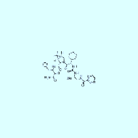 CC(C)(C)[C@@H](CNC(=O)c1cnccn1)NC(=O)N[C@H](C(=O)N1C[C@H]2[C@@H]([C@H]1C(=O)NC(CC1CCC1)C(=O)C(N)=O)C2(C)C)C1CCCCC1